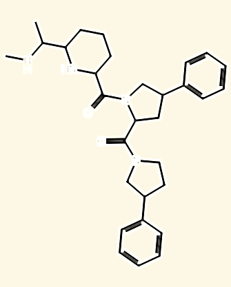 CNC(C)C1CCCC(C(=O)N2CC(c3ccccc3)CC2C(=O)N2CCC(c3ccccc3)C2)N1